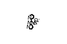 C[S+]([O-])n1c(-c2ccccn2)nc2ncccc21